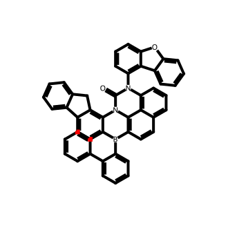 O=C1N2c3c(ccc4c3Cc3ccccc3-4)B(c3ccccc3-c3ccccc3)c3ccc4cccc(c4c32)N1c1cccc2oc3ccccc3c12